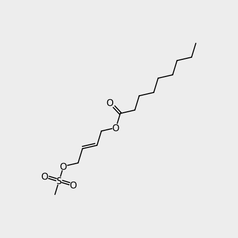 CCCCCCCCC(=O)OCC=CCOS(C)(=O)=O